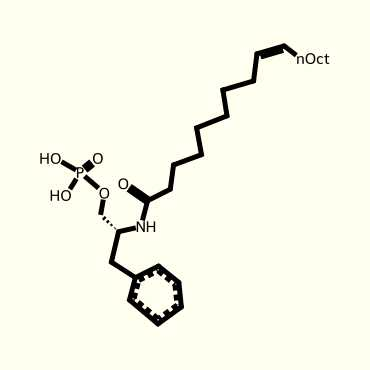 CCCCCCCC/C=C\CCCCCCCC(=O)N[C@@H](COP(=O)(O)O)Cc1ccccc1